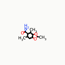 Cc1cc2c(c(C)c1C(N)=O)OC(C)O2